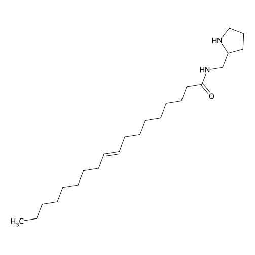 CCCCCCCCC=CCCCCCCCC(=O)NCC1CCCN1